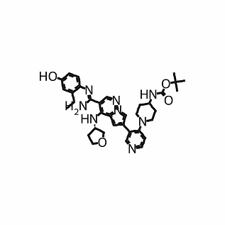 CCc1cc(O)ccc1/N=C(\N)c1cnn2cc(-c3cnccc3N3CCC(NC(=O)OC(C)(C)C)CC3)cc2c1N[C@H]1CCOC1